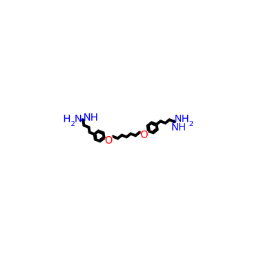 N=C(N)CCCc1ccc(OCCCCCCCOc2ccc(CCCC(=N)N)cc2)cc1